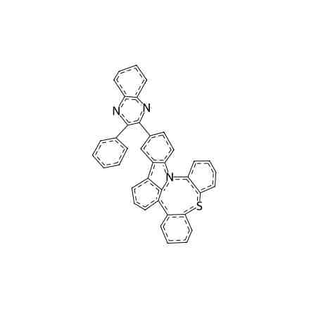 c1ccc(-c2nc3ccccc3nc2-c2ccc3c(c2)c2cccc4c5ccccc5sc5ccccc5n3c42)cc1